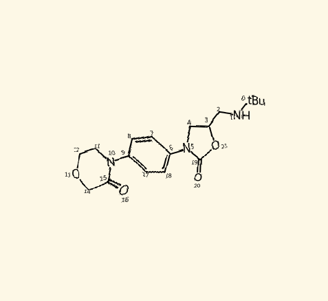 CC(C)(C)NCC1CN(c2ccc(N3CCOCC3=O)cc2)C(=O)O1